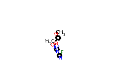 COc1cccc([C@@H](C)OC(=O)[N+]2=CCN(c3ccncc3F)CC2)c1